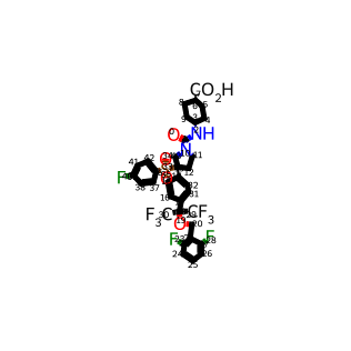 O=C(N[C@H]1CC[C@@H](C(=O)O)CC1)N1CC[C@](c2ccc(C(OCc3c(F)cccc3F)(C(F)(F)F)C(F)(F)F)cc2)(S(=O)(=O)c2ccc(F)cc2)C1